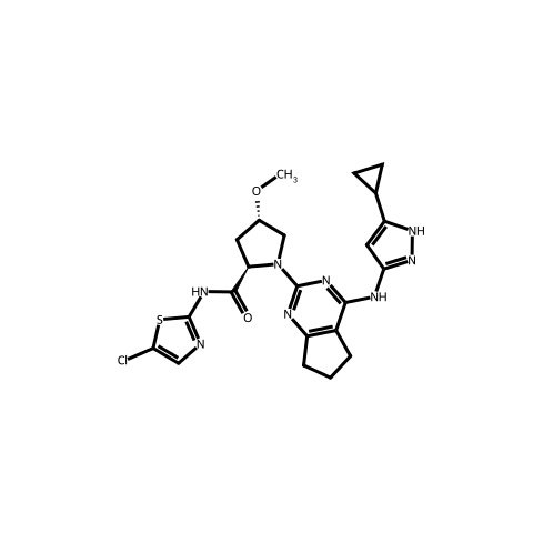 CO[C@H]1C[C@H](C(=O)Nc2ncc(Cl)s2)N(c2nc3c(c(Nc4cc(C5CC5)[nH]n4)n2)CCC3)C1